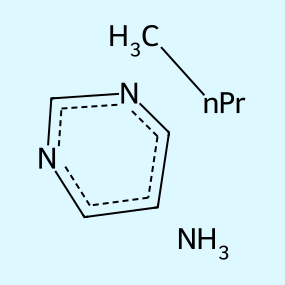 CCCC.N.c1cncnc1